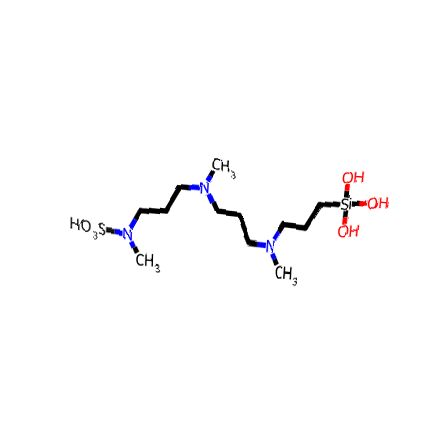 CN(CCCN(C)CCC[Si](O)(O)O)CCCN(C)S(=O)(=O)O